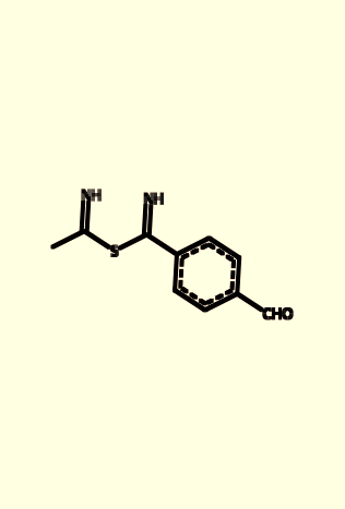 CC(=N)SC(=N)c1ccc(C=O)cc1